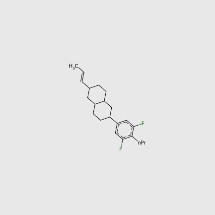 C/C=C/C1CCC2CC(c3cc(F)c(CCC)c(F)c3)CCC2C1